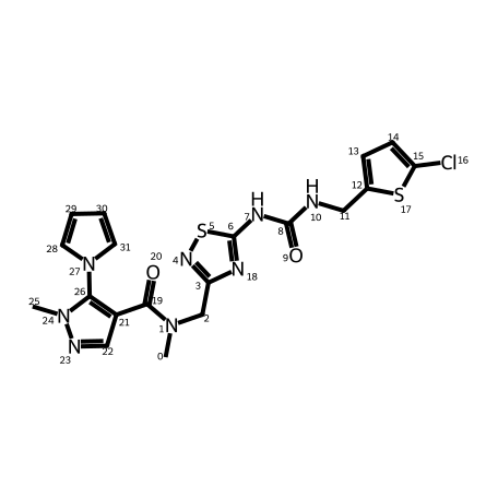 CN(Cc1nsc(NC(=O)NCc2ccc(Cl)s2)n1)C(=O)c1cnn(C)c1-n1cccc1